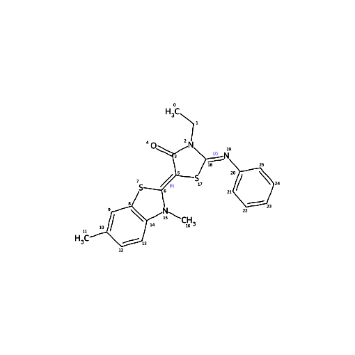 CCN1C(=O)/C(=C2\Sc3cc(C)ccc3N2C)S/C1=N\c1ccccc1